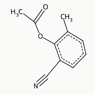 CC(=O)Oc1c(C)cccc1C#N